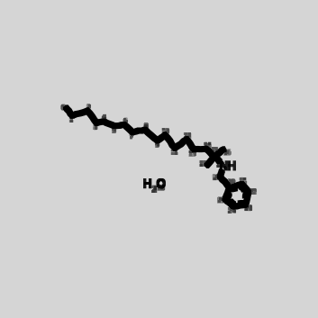 CCCCCCCCCCCCCCCC(C)(C)NCc1ccccc1.O